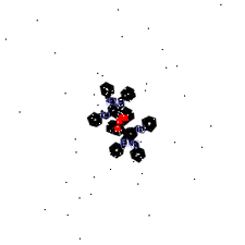 C(=C\c1cc(/C=C/c2ccccc2)c(/C=C/c2ccccc2)c(C23CC4CC(C2)CC(C25CC6CC(CC(c7cc(/C=C/c8ccccc8)cc(/C=C/c8ccccc8)c7/C=C/c7ccccc7)(C6)C2)C5)(C4)C3)c1)/c1ccccc1